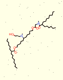 CCCCCCCCC(CCCCCC)C(=O)OCCCCCC(CCCCCOC(=O)CN(C)C(=O)C(CCCCCC)CCCCCCCC)N(C)CCCO